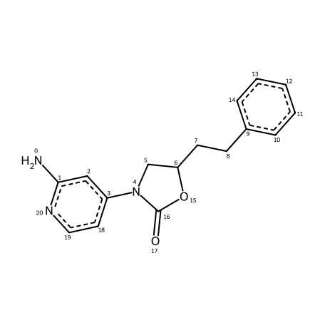 Nc1cc(N2CC(CCc3ccccc3)OC2=O)ccn1